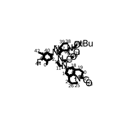 Cc1cc(-n2nc3c(c2N2C=CN(c4cc5c6c(c4)CCC(=C=O)N6CCC5)C2=C=O)[C@H](C)N(C(=O)OC(C)(C)C)CC3)cc(C)c1F